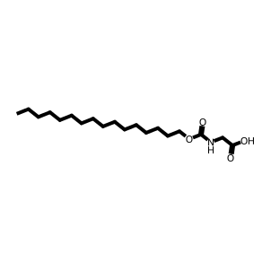 CCCCCCCCCCCCCCCCOC(=O)NCC(=O)O